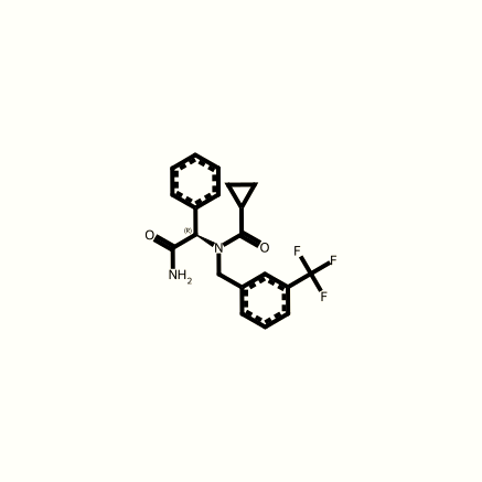 NC(=O)[C@@H](c1ccccc1)N(Cc1cccc(C(F)(F)F)c1)C(=O)C1CC1